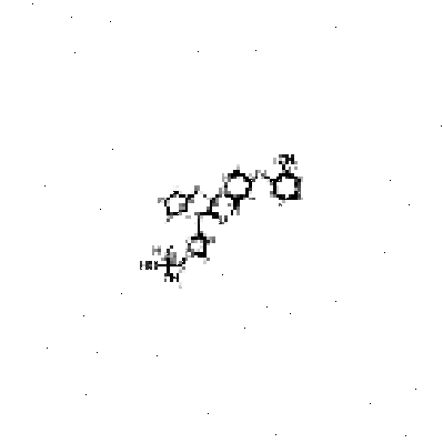 Cc1ccccc1Oc1cnn([C@@H](CC2CCCC2)C(=O)Nc2ccn(CC(C)(C)O)n2)c(=O)c1